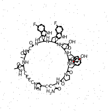 CC(=O)N[C@H]1CCCCn2cc(nn2)CC[C@@H](C(N)=O)NC(=O)[C@]2(C)CCCN2C(=O)[C@H](Cc2ccc(O)cc2)NC(=O)[C@H](Cc2cnc[nH]2)NC(=O)[C@H](CC(=O)O)NC(=O)C(Cc2c[nH]c3ccc(F)cc23)NC(=O)[C@H](Cc2c[nH]c3ccc(F)cc23)NC(=O)CNC(=O)[C@H](C)NC1=O